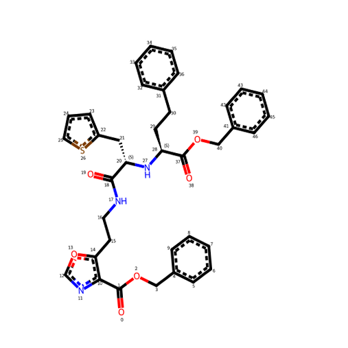 O=C(OCc1ccccc1)c1ncoc1CCNC(=O)[C@H](Cc1cccs1)N[C@@H](CCc1ccccc1)C(=O)OCc1ccccc1